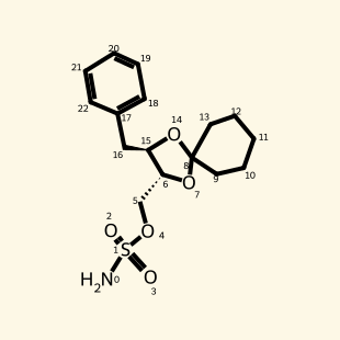 NS(=O)(=O)OC[C@H]1OC2(CCCCC2)O[C@@H]1Cc1ccccc1